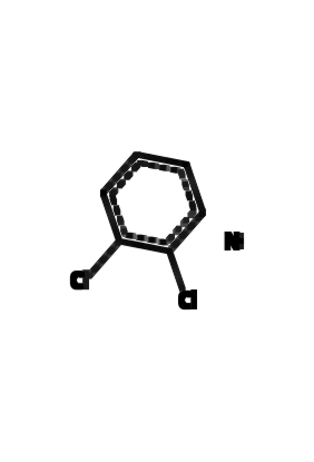 Clc1ccccc1Cl.[N]